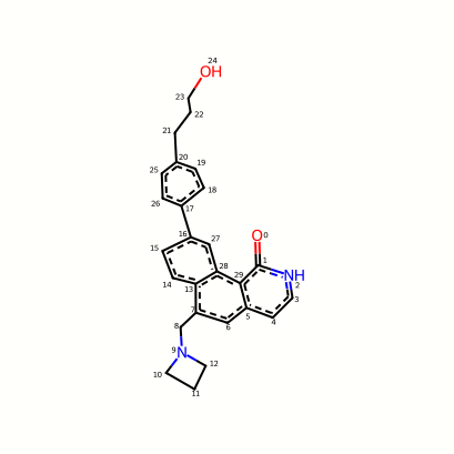 O=c1[nH]ccc2cc(CN3CCC3)c3ccc(-c4ccc(CCCO)cc4)cc3c12